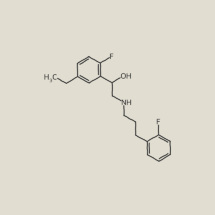 CCc1ccc(F)c(C(O)CNCCCc2ccccc2F)c1